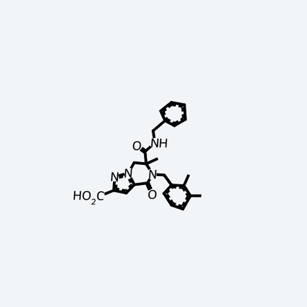 Cc1cccc(CN2C(=O)c3cc(C(=O)O)nn3CC2(C)C(=O)NCc2ccccc2)c1C